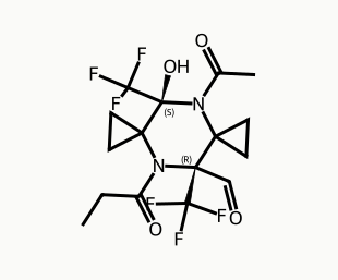 CCC(=O)N1C2(CC2)[C@](O)(C(F)(F)F)N(C(C)=O)C2(CC2)[C@@]1(C=O)C(F)(F)F